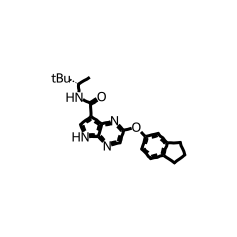 C[C@H](NC(=O)c1c[nH]c2ncc(Oc3ccc4c(c3)CCC4)nc12)C(C)(C)C